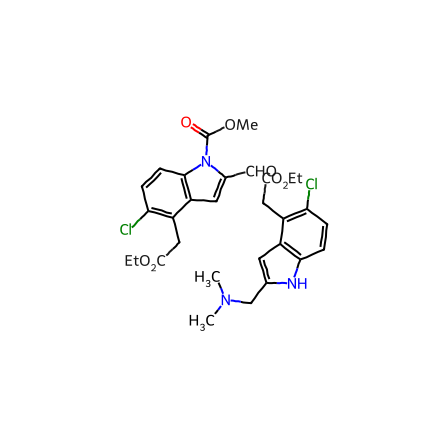 CCOC(=O)Cc1c(Cl)ccc2[nH]c(CN(C)C)cc12.CCOC(=O)Cc1c(Cl)ccc2c1cc(C=O)n2C(=O)OC